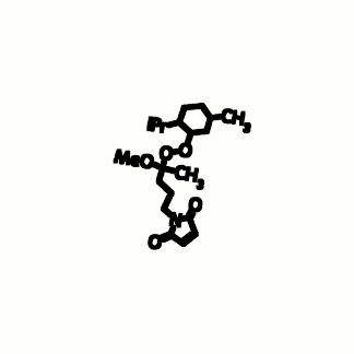 COC(C)(CCCN1C(=O)C=CC1=O)OOC1CC(C)CCC1C(C)C